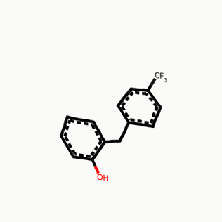 Oc1ccccc1Cc1ccc(C(F)(F)F)cc1